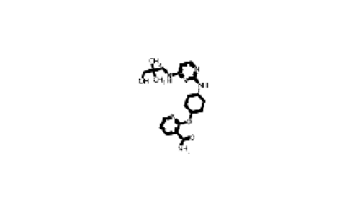 CC(C)(CO)CNc1ccnc(N[C@H]2CC[C@H](Oc3ncccc3C(N)=O)CC2)n1